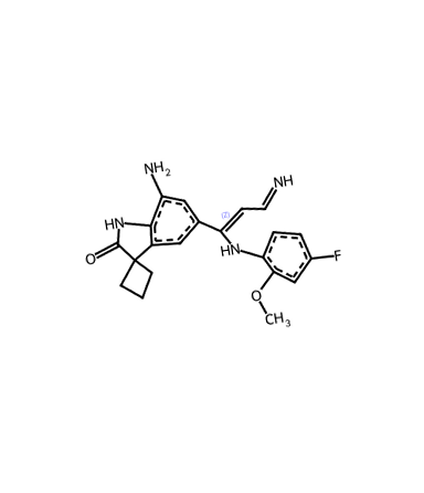 COc1cc(F)ccc1N/C(=C\C=N)c1cc(N)c2c(c1)C1(CCC1)C(=O)N2